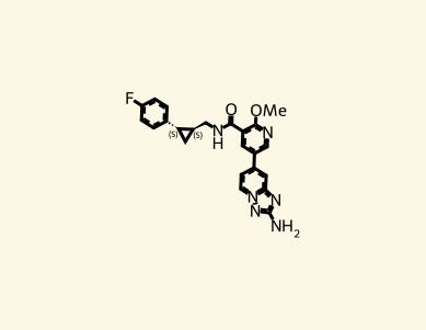 COc1ncc(-c2ccn3nc(N)nc3c2)cc1C(=O)NC[C@H]1C[C@@H]1c1ccc(F)cc1